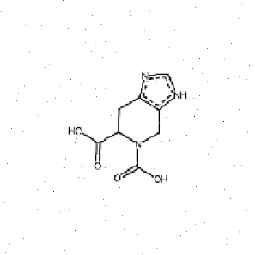 O=C(O)C1Cc2nc[nH]c2CN1C(=O)O